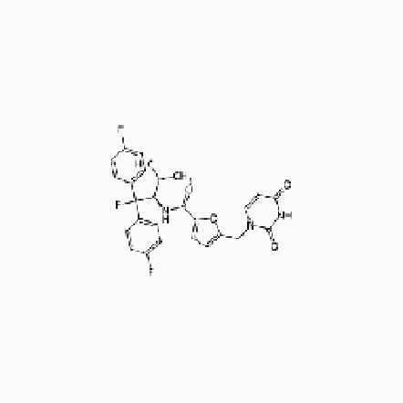 CC(C)[C@@H](NC(=O)c1ccc(Cn2ccc(=O)[nH]c2=O)o1)C(F)(c1ccc(F)cc1)c1ccc(F)cc1